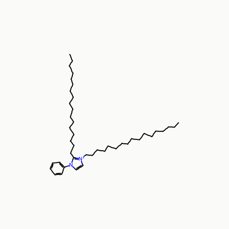 CCCCCCCCCCCCCCCCCc1n(-c2ccccc2)cc[n+]1CCCCCCCCCCCCCCCCC